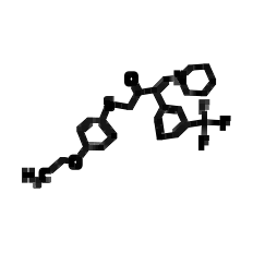 CCOc1ccc(SCC(=O)/C(=C/N2CCCCC2)c2cccc(C(F)(F)F)c2)cc1